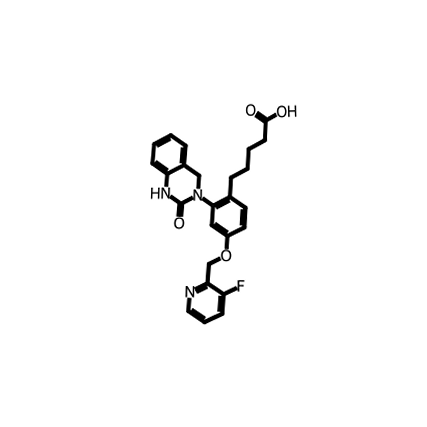 O=C(O)CCCCc1ccc(OCc2ncccc2F)cc1N1Cc2ccccc2NC1=O